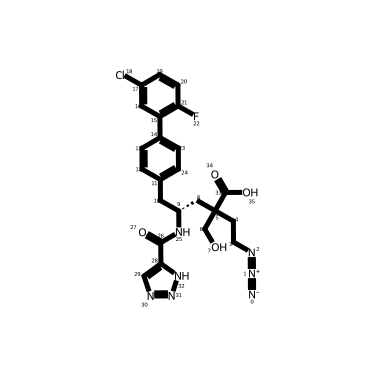 [N-]=[N+]=NCCC(CO)(C[C@@H](Cc1ccc(-c2cc(Cl)ccc2F)cc1)NC(=O)c1cnn[nH]1)C(=O)O